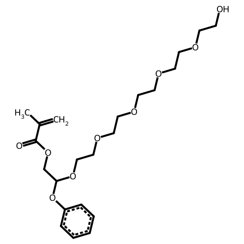 C=C(C)C(=O)OCC(OCCOCCOCCOCCOCCO)Oc1ccccc1